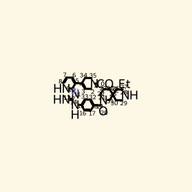 CCOC(=O)N1CC=C(c2ccc[nH]/c2=N\C(=N)Nc2ccc(C(=O)N3CCCC4(CCNCC4)C3)cc2)CC1